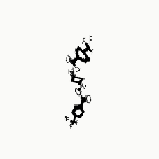 O=C(ON=C1CC(=NOC(=O)c2ccc(C(F)(F)F)cc2)C1)c1ccc(C(F)(F)F)cc1